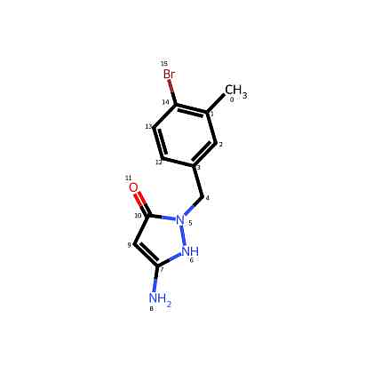 Cc1cc(Cn2[nH]c(N)cc2=O)ccc1Br